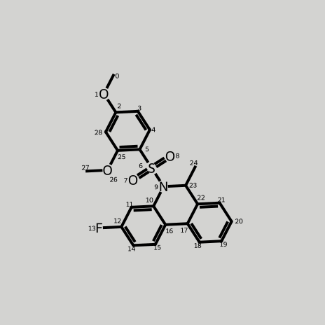 COc1ccc(S(=O)(=O)N2c3cc(F)ccc3-c3ccccc3C2C)c(OC)c1